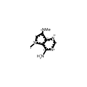 CNc1cn(C)c2c(N)ncnc12